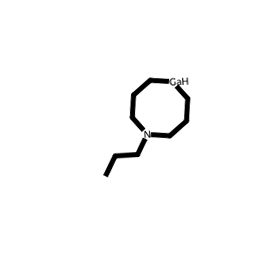 CCCN1CC[CH2][GaH][CH2]CC1